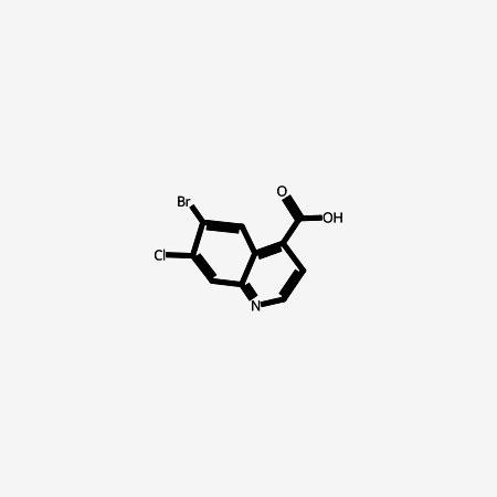 O=C(O)c1ccnc2cc(Cl)c(Br)cc12